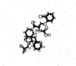 O=C(O)NC(COc1ccccc1Cl)C(=O)N1CCC2=NN(CC(F)F)C(=O)C2(Cc2ccccn2)C1